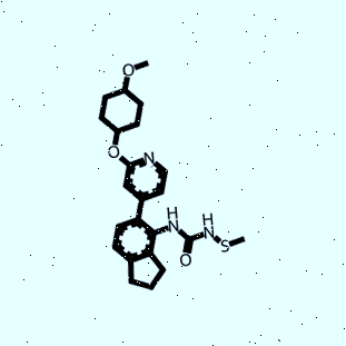 COC1CCC(Oc2cc(-c3ccc4c(c3NC(=O)NSC)CCC4)ccn2)CC1